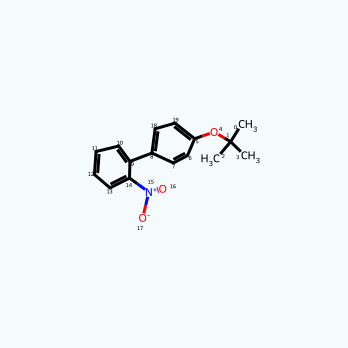 CC(C)(C)Oc1ccc(-c2ccccc2[N+](=O)[O-])cc1